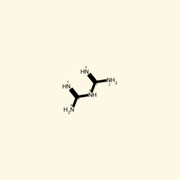 N=C(N)NC(=N)N